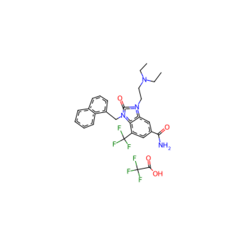 CCN(CC)CCn1c(=O)n(Cc2cccc3ccccc23)c2c(C(F)(F)F)cc(C(N)=O)cc21.O=C(O)C(F)(F)F